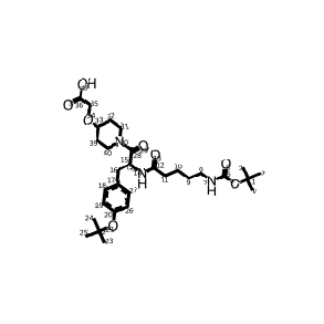 CC(C)(C)OC(=O)NCCCCC(=O)N[C@@H](Cc1ccc(OC(C)(C)C)cc1)C(=O)N1CCC(OCC(=O)O)CC1